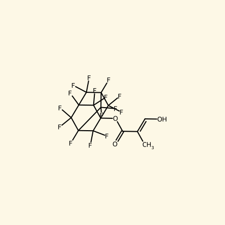 CC(=CO)C(=O)OC12C(F)(F)C3(F)C(F)(F)C(F)(C(F)(F)C(F)(C3(F)F)C1(F)F)C2(F)F